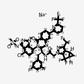 Cn1nc([N-]S(C)(=O)=O)c2c(Cl)ccc(-n3c([C@H](Cc4cc(F)cc(F)c4)NC(=O)Cn4nc(C(F)F)c5c4C(F)(F)[C@@H]4C[C@H]54)nc4cc(-c5cccc(C(F)(F)F)n5)ccc4c3=O)c21.[Na+]